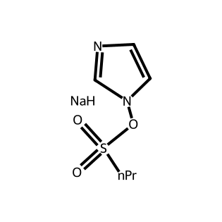 CCCS(=O)(=O)On1ccnc1.[NaH]